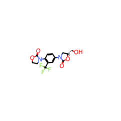 O=C1O[C@@H](CO)CN1c1ccc(N2CCOC2=O)c(C(F)(F)F)c1